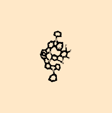 N#Cc1cc(-n2c3ccccc3c3ccc4c(c5ccccc5n4-c4ccccc4)c32)c(-n2c3ccccc3c3ccc4c(c5ccccc5n4-c4ccccc4)c32)cc1-c1c(F)c(F)c(F)c(F)c1F